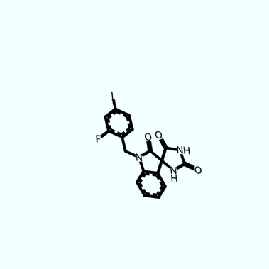 O=C1NC(=O)C2(N1)C(=O)N(Cc1ccc(I)cc1F)c1ccccc12